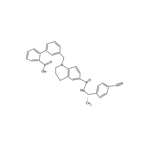 C[C@H](NC(=O)c1ccc2c(c1)CCCN2Cc1cccc(-c2ccccc2C(=O)O)c1)c1ccc(C#N)cc1